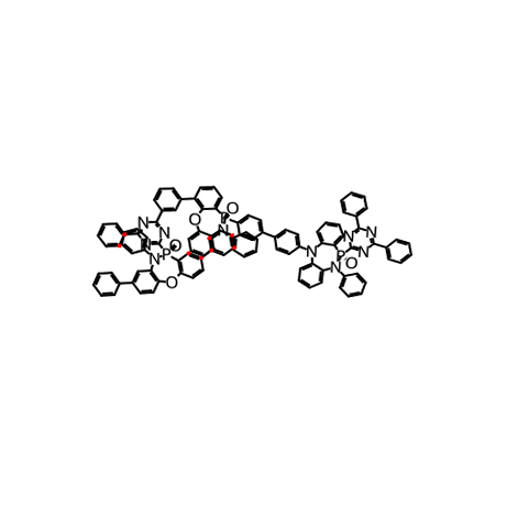 O=P1(c2ccc(-c3ccc(N4c5ccccc5N(c5ccccc5)P(=O)(c5nc(-c6ccccc6)nc(-c6ccccc6)n5)c5ccccc54)cc3)cc2)c2cccc(-c3cccc(-c4nc(-c5ccccc5)nc(P5(=O)c6cc(-c7ccccc7)ccc6Oc6ccc(-c7ccccc7)cc6N5c5ccccc5)n4)c3)c2Oc2ccccc2N1c1ccccc1